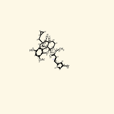 CC(=O)Oc1cc(O)c2c3c1O[C@H]1[C@@H](N(C)C(=O)/C=C/c4cc(Br)cs4)CC[C@H]4[C@@H](C2)N(CC2CC2)CC[C@@]341